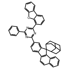 c1ccc(-c2nc(-c3ccc4c(c3)C3(c5c-4ccc4ccccc54)C4CC5CC(C4)CC3C5)nc(-c3cccc4c3oc3ccccc34)n2)cc1